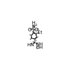 CCc1cc(C(=N)NO)ccc1S(N)(=O)=O